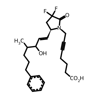 CC(CCCc1ccccc1)C(O)/C=C/[C@H]1CC(F)(F)C(=O)N1CC#CCCCC(=O)O